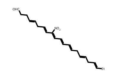 CC/C=C/C/C=C/C/C=C/C=C/C=C(/C=C/C/C=C/CC[C]=O)[N+](=O)[O-]